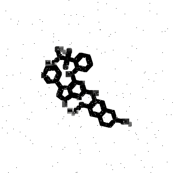 COc1cc2c(cc1Nc1nc(Nc3ccccc3S(=O)(=O)N(C)C)c3c(-c4cccnc4)c[nH]c3n1)CN(C)CC2